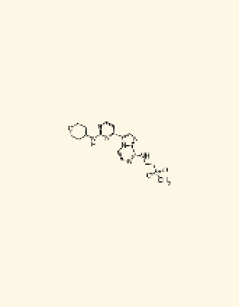 CS(=O)(=O)CCNc1nccn2c(-c3ccnc(NC4CCOCC4)n3)cnc12